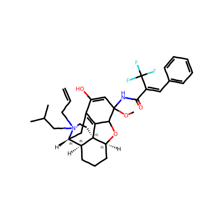 C=CC[N+]1(CC(C)C)CC[C@@]23C4=C5C[C@@H]1[C@@H]2CCC[C@@H]3OC4C(NC(=O)C(=Cc1ccccc1)C(F)(F)F)(OC)C=C5O